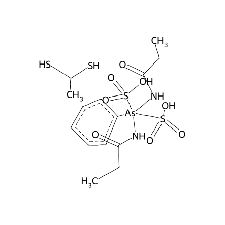 CC(S)S.CCC(=O)N[As](NC(=O)CC)(c1ccccc1)(S(=O)(=O)O)S(=O)(=O)O